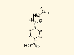 CC(C)c1nnc(C2CCC(C(=O)O)CC2)o1